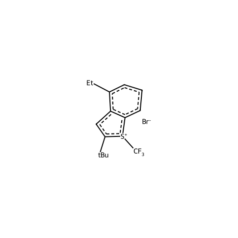 CCc1cccc2c1cc(C(C)(C)C)[s+]2C(F)(F)F.[Br-]